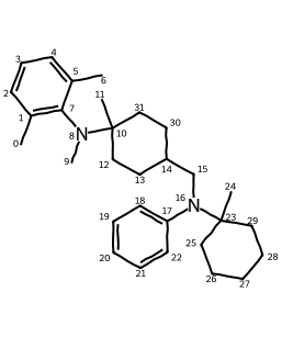 Cc1cccc(C)c1N(C)C1(C)CCC(CN(c2ccccc2)C2(C)CCCCC2)CC1